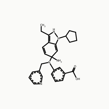 CCC1=C2C=CC(N)(N(Cc3cccnc3)c3cccc(C(=O)O)c3)C=C2N(C2CCCC2)N1